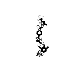 Cc1cc(C(F)(F)F)nn1CC(=O)N1CCC(c2nc(C3OCc4c(F)ccc(OS(C)(=O)=O)c4CO3)cs2)CC1